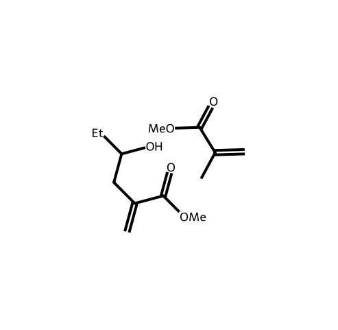 C=C(C)C(=O)OC.C=C(CC(O)CC)C(=O)OC